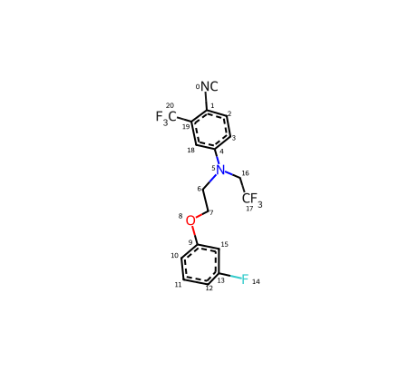 [C-]#[N+]c1ccc(N(CCOc2cccc(F)c2)CC(F)(F)F)cc1C(F)(F)F